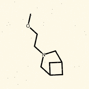 COCCN1CC2CC(C2)C1